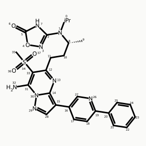 CC(C)N(c1noc(=O)[nH]1)[C@H](C)CCc1nc2c(-c3ccc(-c4ccccc4)nc3)cnn2c(N)c1S(C)(=O)=O